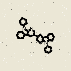 c1ccc(-n2c3ccccc3c3cc(-c4cnc5c(c4)c4ccccc4n5-c4ccccc4)ccc32)cc1